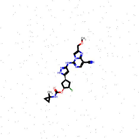 COCc1cn2c(Nc3cc([C@H]4C[C@@H](F)[C@@H](OC(=O)NC5(C)CC5)C4)[nH]n3)ncc(C#N)c2n1